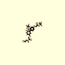 CN(CC=O)C(=O)COC1CC[N@+](C)(C(=O)OC(C)(C)C)C(c2ccc(OCC(=O)OC(C)(C)C)cc2)C1